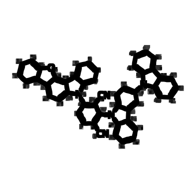 N#Cc1ccc(-n2c3ccccc3c3c4oc5ccccc5c4ccc32)c(C#N)c1-n1c2ccccc2c2cc(-n3c4ccccc4c4ccccc43)ccc21